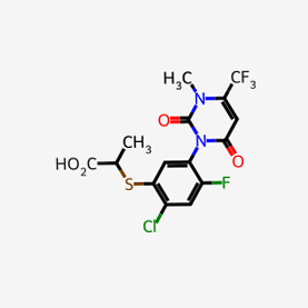 CC(Sc1cc(-n2c(=O)cc(C(F)(F)F)n(C)c2=O)c(F)cc1Cl)C(=O)O